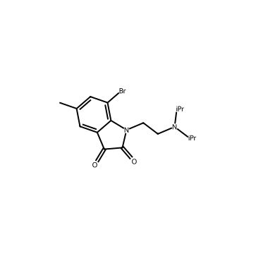 Cc1cc(Br)c2c(c1)C(=O)C(=O)N2CCN(C(C)C)C(C)C